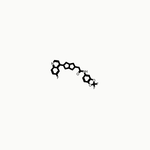 O=C(CC1CC2CC(c3ccnc4ccc(F)cc34)CC2C1)Nc1ccc2c(c1)OC(F)(F)O2